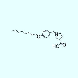 CCCCCCCCOc1ccc(CN2CCC(C(=O)O)C2)cc1